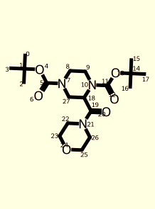 CC(C)(C)OC(=O)N1CCN(C(=O)OC(C)(C)C)C(C(=O)N2CCOCC2)C1